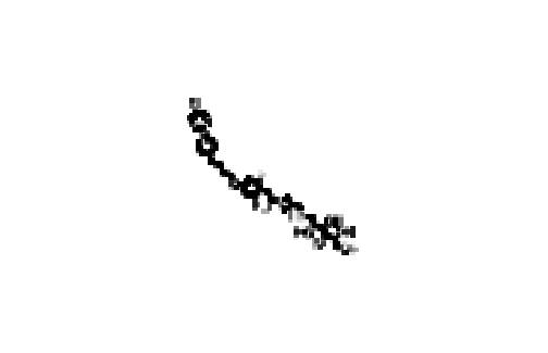 O=C(Cc1c(F)cc(OCCCCC2CCN(c3ncc(Cl)cn3)CC2)cc1F)N1CC(CNC[C@H](O)[C@@H](O)[C@H](O)[C@H](O)CO)C1